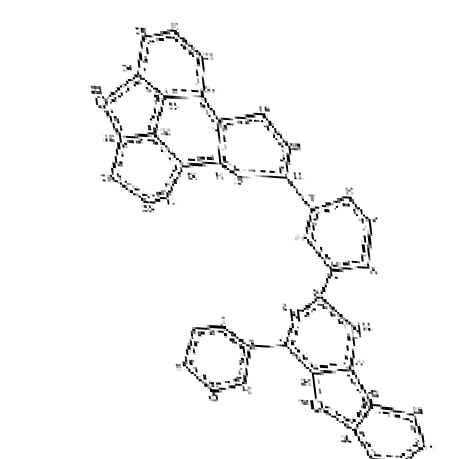 c1ccc(-c2nc(-c3cccc(-c4ccc5c(c4)c4cccc6oc7cccc5c7c64)c3)nc3c2oc2ccccc23)cc1